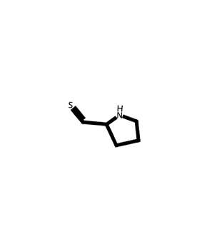 S=CC1CCCN1